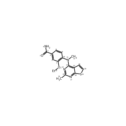 CCOc1cc(C(N)=O)ccc1N(C)c1nc(C)nc2sccc12